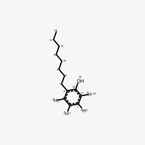 [2H]c1c([2H])c([2H])c(CCCCCCCC)c(O)c1[2H]